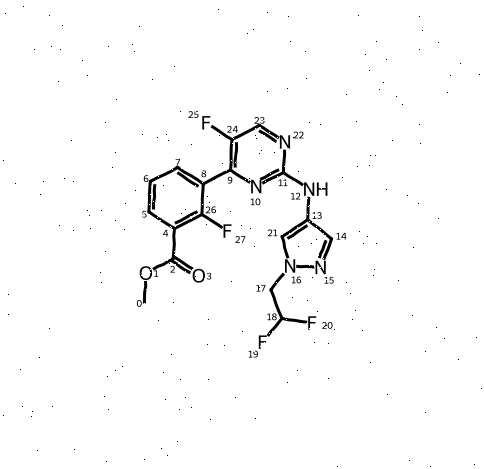 COC(=O)c1cccc(-c2nc(Nc3cnn(CC(F)F)c3)ncc2F)c1F